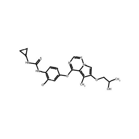 Cc1c(OCC(C)O)cn2ncnc(Oc3ccc(NC(=S)NC4CC4)c(Cl)c3)c12